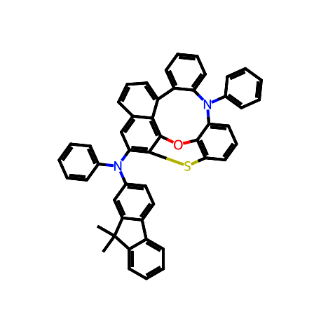 CC1(C)c2ccccc2-c2ccc(N(c3ccccc3)c3cc4cccc5c4c4c3Sc3cccc(c3O4)N(c3ccccc3)c3ccccc3-5)cc21